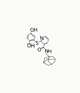 O=C(NCC12CC3CC(CC(C3)C1)C2)c1cccnc1Sc1cc(O)ccc1O